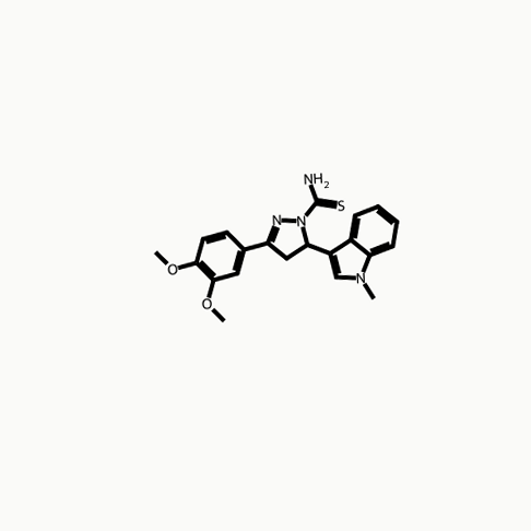 COc1ccc(C2=NN(C(N)=S)C(c3cn(C)c4ccccc34)C2)cc1OC